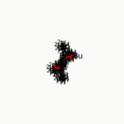 [2H]c1c([2H])c([2H])c(-c2cc(F)c(N(c3cccc(C(C)(C)C)c3)c3ccc4ccc5c(N(c6cccc(C(C)(C)C)c6)c6c(F)cc(-c7c([2H])c([2H])c([2H])c([2H])c7[2H])cc6-c6c([2H])c([2H])c([2H])c([2H])c6[2H])ccc6ccc3c4c65)c(-c3c([2H])c([2H])c([2H])c([2H])c3[2H])c2)c([2H])c1[2H]